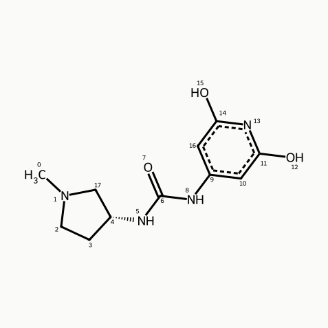 CN1CC[C@@H](NC(=O)Nc2cc(O)nc(O)c2)C1